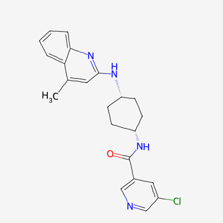 Cc1cc(N[C@H]2CC[C@@H](NC(=O)c3cncc(Cl)c3)CC2)nc2ccccc12